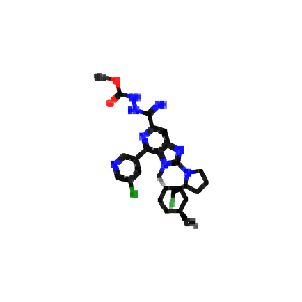 CC(C)(C)OC(=O)NNC(=N)c1cc2nc(N3CCC[C@H]3CF)n(C[C@H]3CC[C@H](C)CC3)c2c(-c2cncc(Cl)c2)n1